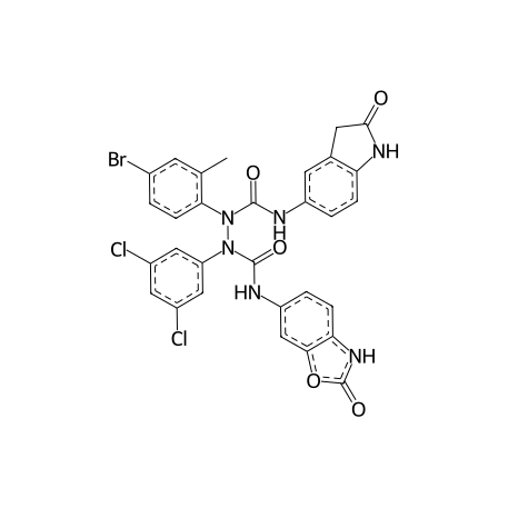 Cc1cc(Br)ccc1N(C(=O)Nc1ccc2c(c1)CC(=O)N2)N(C(=O)Nc1ccc2[nH]c(=O)oc2c1)c1cc(Cl)cc(Cl)c1